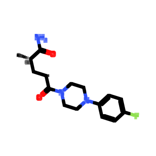 C[C@@H](C[CH]C(=O)N1CCN(c2ccc(F)cc2)CC1)C(N)=O